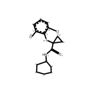 O=C(NC1CCCCC1)C1(Sc2c(Cl)cccc2Cl)CC1